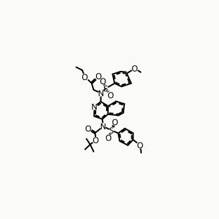 CCOC(=O)CN(c1ncc(N(C(=O)OC(C)(C)C)S(=O)(=O)c2ccc(OC)cc2)c2ccccc12)S(=O)(=O)c1ccc(OC)cc1